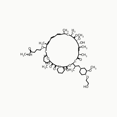 CNC(=O)CCCO[C@@H]1C[C@@H]2CC[C@@H](C)[C@@](O)(O2)C(=O)C(=O)N2CCCC[C@H]2C(=O)O[C@H]([C@H](C)C[C@@H]2CC[C@@H](OCCO)[C@H](OC)C2)CC(=O)[C@H](C)/C=C(\C)[C@@H](O)[C@@H](OC)C(=O)[C@H](C)C[C@H](C)/C=C/C=C/C=C/1C